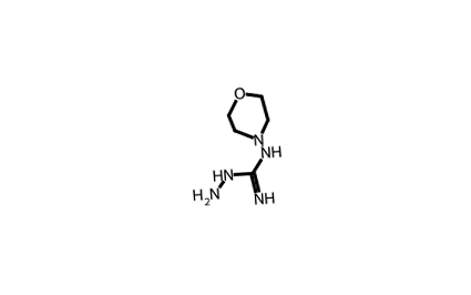 N=C(NN)NN1CCOCC1